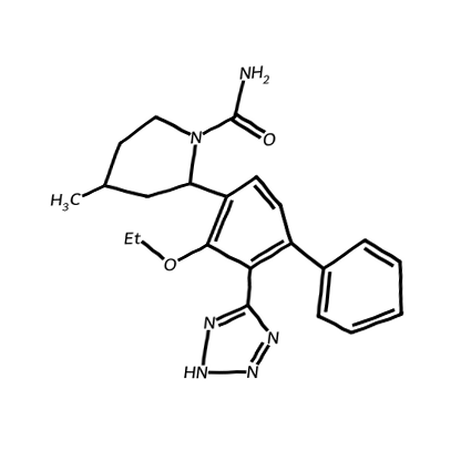 CCOc1c(C2CC(C)CCN2C(N)=O)ccc(-c2ccccc2)c1-c1nn[nH]n1